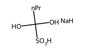 CCCC(O)(O)S(=O)(=O)O.[NaH]